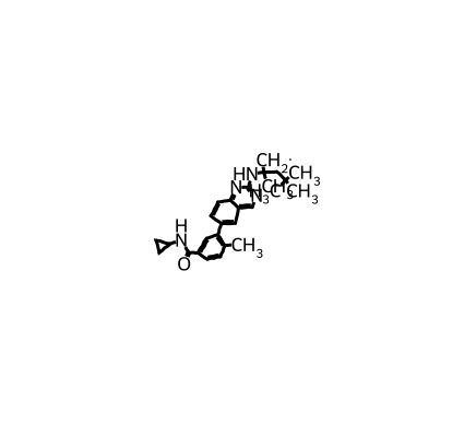 [CH2]C(C)(CC(C)(C)C)Nc1ncc2cc(-c3cc(C(=O)NC4CC4)ccc3C)ccc2n1